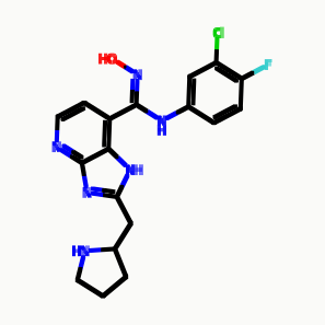 O/N=C(/Nc1ccc(F)c(Cl)c1)c1ccnc2nc(CC3CCCN3)[nH]c12